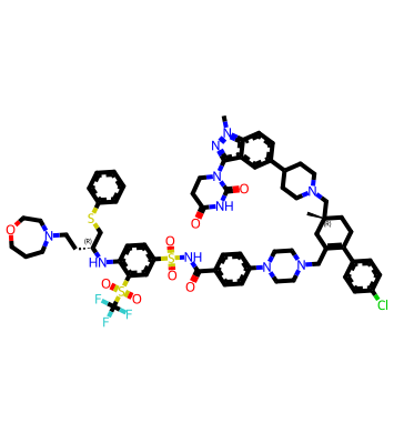 Cn1nc(N2CCC(=O)NC2=O)c2cc(C3CCN(C[C@]4(C)CCC(c5ccc(Cl)cc5)=C(CN5CCN(c6ccc(C(=O)NS(=O)(=O)c7ccc(N[C@H](CCN8CCCOCC8)CSc8ccccc8)c(S(=O)(=O)C(F)(F)F)c7)cc6)CC5)C4)CC3)ccc21